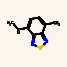 CBc1ccc(C)c2nsnc12